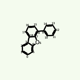 [c]1ccc2c(c1)oc1c(-c3ccccc3)cccc12